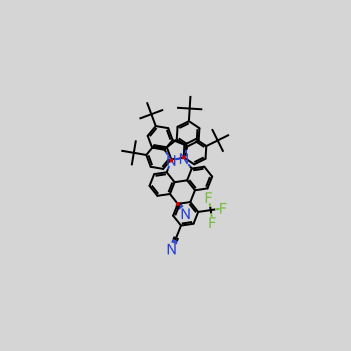 CC(C)(C)c1ccc2c(c1)c1cc(C(C)(C)C)ccc1n2-c1cccc(C#N)c1-c1c(-c2ccc(C#N)cc2C(F)(F)F)cccc1-n1c2ccc(C(C)(C)C)cc2c2cc(C(C)(C)C)ccc21